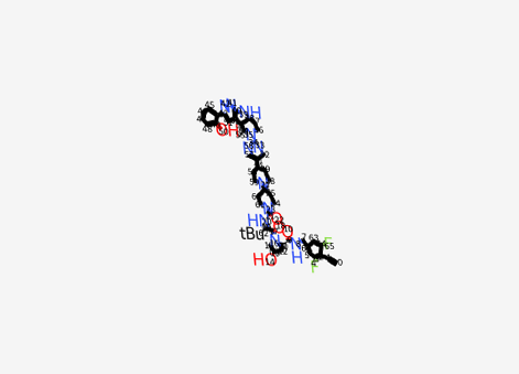 C#Cc1c(F)cc(CNC(=O)[C@@H]2C[C@@H](O)CN2C(=O)[C@@H](NC(=O)N2CCC(N3CCC(c4cnc(N5CCC6Nc7nnc(-c8ccccc8O)cc7C6[C@H]5C)nc4)CC3)CC2)C(C)(C)C)cc1F